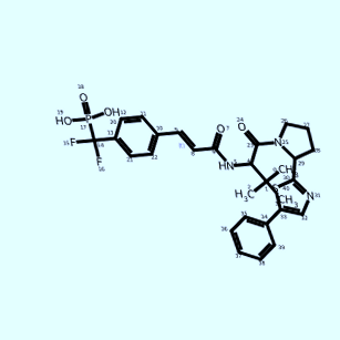 CC(C)(C)C(NC(=O)/C=C/c1ccc(C(F)(F)P(=O)(O)O)cc1)C(=O)N1CCCC1c1ncc(-c2ccccc2)s1